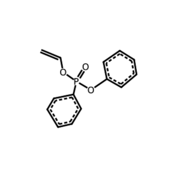 C=COP(=O)(Oc1ccccc1)c1ccccc1